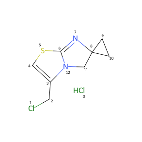 Cl.ClCC1=CSC2=NC3(CC3)CN12